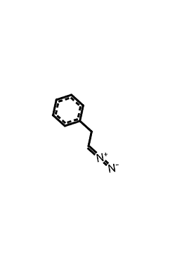 [N-]=[N+]=CCc1ccccc1